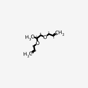 C=CCOCC(C)OCC=C